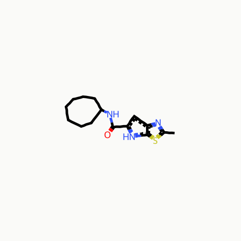 Cc1nc2cc(C(=O)NC3CCCCCCC3)[nH]c2s1